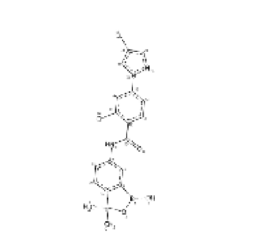 CC1(C)OB(O)c2cc(NC(=O)c3ccc(-n4cc(Cl)cn4)cc3Cl)ccc21